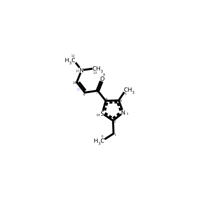 CCc1nc(C)c(C(=O)/C=C\N(C)C)s1